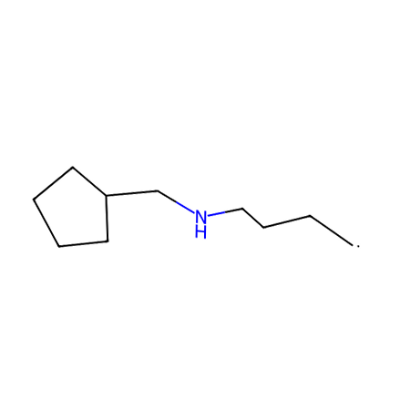 [CH2]CCCNCC1CCCC1